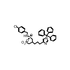 O=[N+]([O-])CC(CCCc1cn(C(c2ccccc2)(c2ccccc2)c2ccccc2)cn1)CS(=O)(=O)NCc1ccc(Cl)cc1